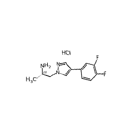 C[C@H](N)Cn1cc(-c2ccc(F)c(F)c2)cn1.Cl